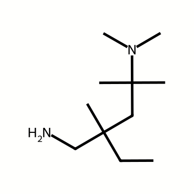 CCC(C)(CN)CC(C)(C)N(C)C